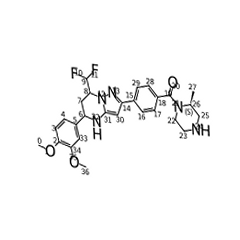 COc1ccc(C2CC(C(F)F)n3nc(-c4ccc(C(=O)N5CCNC[C@@H]5C)cc4)cc3N2)cc1OC